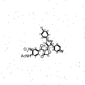 CC(=O)Nc1ccc(C(C)N2C(=O)COC2c2cn(-c3ccc(I)cc3)nc2-c2ccc(F)cc2)cc1[N+](=O)[O-]